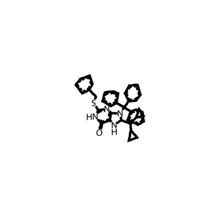 O=c1[nH]c(SCc2ccccc2)nc2c1NC(C(C1CC1)C1CC1)N2C(c1ccccc1)(c1ccccc1)c1ccccc1